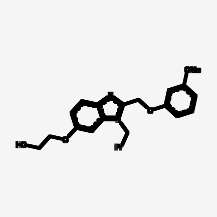 COc1cccc(OCc2nc3ccc(OCCO)cc3n2CC(C)C)c1